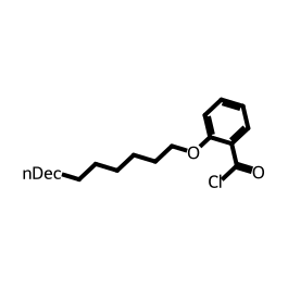 CCCCCCCCCCCCCCCCOc1ccccc1C(=O)Cl